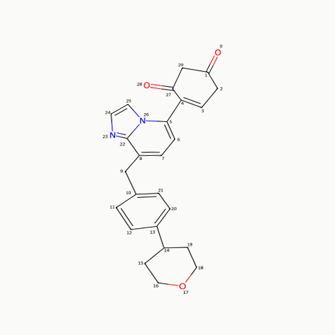 O=C1CC=C(c2ccc(Cc3ccc(C4CCOCC4)cc3)c3nccn23)C(=O)C1